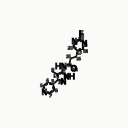 Cc1c(-c2ccncc2)n[nH]c1NC(=O)CCc1cnc(F)nc1